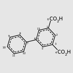 O=C(O)c1cc(C(=O)O)cc(-c2ccccc2)c1